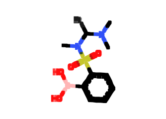 CCC(N(C)C)N(C)S(=O)(=O)c1ccccc1B(O)O